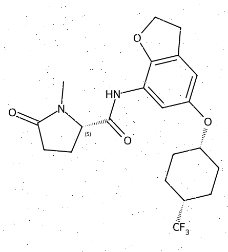 CN1C(=O)CC[C@H]1C(=O)Nc1cc(O[C@H]2CC[C@@H](C(F)(F)F)CC2)cc2c1OCC2